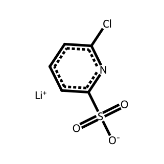 O=S(=O)([O-])c1cccc(Cl)n1.[Li+]